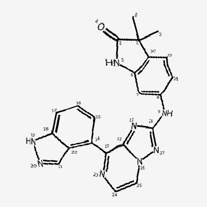 CC1(C)C(=O)Nc2cc(Nc3nc4c(-c5cccc6[nH]ncc56)nccn4n3)ccc21